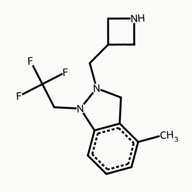 Cc1cccc2c1CN(CC1CNC1)N2CC(F)(F)F